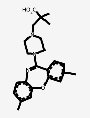 Cc1ccc2c(c1)Oc1cc(C)ccc1C(N1CCN(CC(C)(C)C(=O)O)CC1)=N2